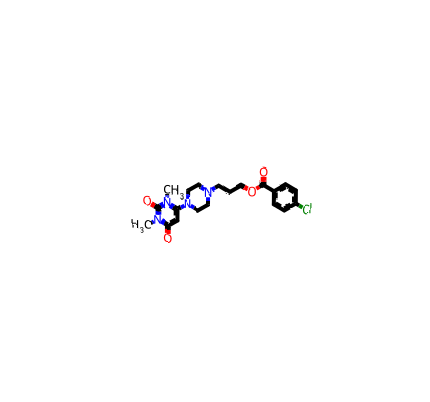 Cn1c(N2CCN(CCCOC(=O)c3ccc(Cl)cc3)CC2)cc(=O)n(C)c1=O